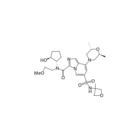 COCCN(C(=O)c1ncc2c(N3C[C@H](C)O[C@@H](C)C3)cc(S(=O)(=O)NC3(C)COC3)cn12)[C@H]1CCC[C@@H]1O